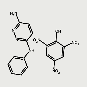 Nc1ccc(Nc2ccccc2)nn1.O=[N+]([O-])c1cc([N+](=O)[O-])c(O)c([N+](=O)[O-])c1